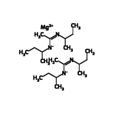 CCC(C)N=C(C)[N-]C(C)CC.CCC(C)N=C(C)[N-]C(C)CC.[Mg+2]